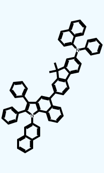 CC1(C)c2cc(-c3cc4c(-c5ccccc5)c(-c5ccccc5)n(-c5ccc6ccccc6c5)c4c4ccccc34)ccc2-c2ccc(N(c3ccccc3)c3cccc4ccccc34)cc21